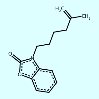 C=C(C)CCCCn1c(=O)oc2ccccc21